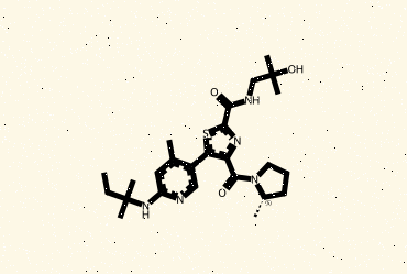 CCC(C)(C)Nc1cc(C)c(-c2sc(C(=O)NCC(C)(C)O)nc2C(=O)N2CCC[C@@H]2C)cn1